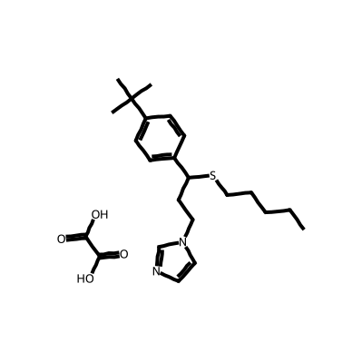 CCCCCSC(CCn1ccnc1)c1ccc(C(C)(C)C)cc1.O=C(O)C(=O)O